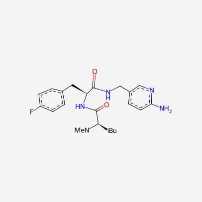 CCC(C)[C@@H](NC)C(=O)N[C@@H](Cc1ccc(F)cc1)C(=O)NCc1ccc(N)nc1